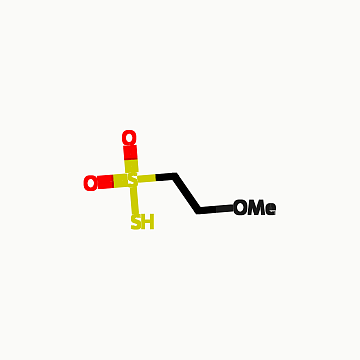 COCCS(=O)(=O)S